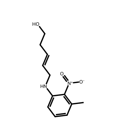 Cc1cccc(NC/C=C/CCO)c1[N+](=O)[O-]